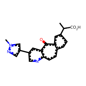 CC(C(=O)O)c1ccc2ccc3ncc(-c4cnn(C)c4)cc3c(=O)c2c1